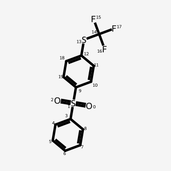 O=S(=O)(c1ccccc1)c1ccc(SC(F)(F)F)cc1